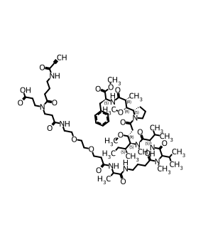 C#CC(=O)NCCCC(=O)N(CCC(=O)O)CCC(=O)NCCOCCOCCC(=O)NC(C)C(=O)NCCCC(=O)N(C)C(C(=O)N[C@H](C(=O)N(C)[C@@H]([C@@H](C)CC)[C@@H](CC(=O)N1CCC[C@H]1[C@H](OC)[C@@H](C)C(=O)N[C@@H](Cc1ccccc1)C(=O)OC)OC)C(C)C)C(C)C